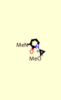 CNc1cccn([C@@H]2C[C@H]2OC)c1=O